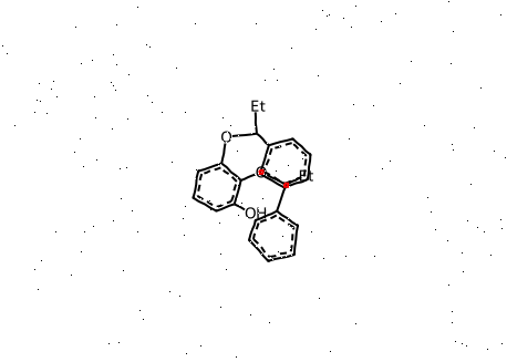 CCC(Oc1cccc(O)c1OC(CC)c1ccccc1)c1ccccc1